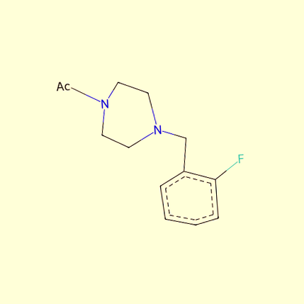 CC(=O)N1CCN(Cc2ccccc2F)CC1